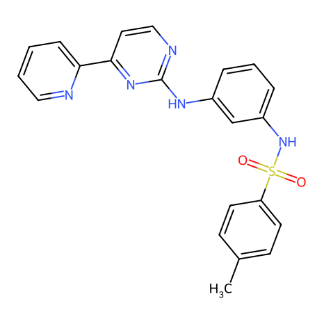 Cc1ccc(S(=O)(=O)Nc2cccc(Nc3nccc(-c4ccccn4)n3)c2)cc1